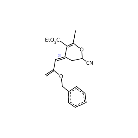 C=C(/C=C1\CC(C#N)OC(C)=C1C(=O)OCC)OCc1ccccc1